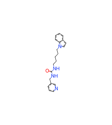 O=C(NCCCCCn1ccc2ccccc21)NCc1cccnc1